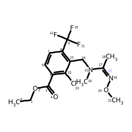 CCOC(=O)c1ccc(C(F)(F)F)c(CN(C)/C(C)=N\OC)c1Cl